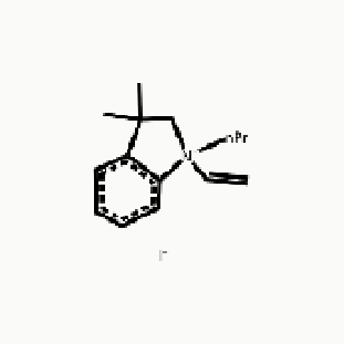 C=C[N+]1(CCC)CC(C)(C)c2ccccc21.[I-]